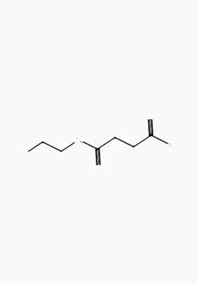 CC(C)CCNC(=O)CCC(=O)C(C)C